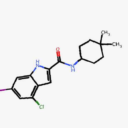 CC1(C)CCC(NC(=O)c2cc3c(Cl)cc(I)cc3[nH]2)CC1